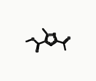 COC(=O)c1cc(C(C)=O)oc1C